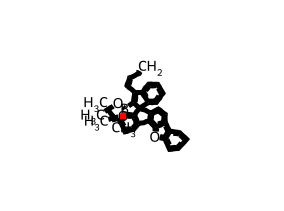 C=C/C=C\C1=C(B2OC(C)(C)C(C)(C)O2)C2(c3ccccc31)c1ccccc1-c1c2ccc2c1oc1ccccc12